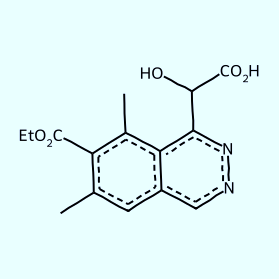 CCOC(=O)c1c(C)cc2cnnc(C(O)C(=O)O)c2c1C